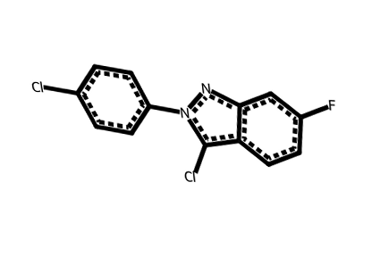 Fc1ccc2c(Cl)n(-c3ccc(Cl)cc3)nc2c1